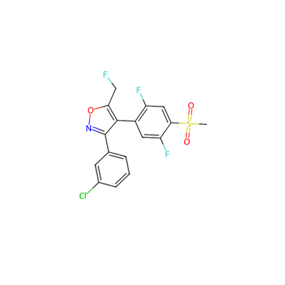 CS(=O)(=O)c1cc(F)c(-c2c(-c3cccc(Cl)c3)noc2CF)cc1F